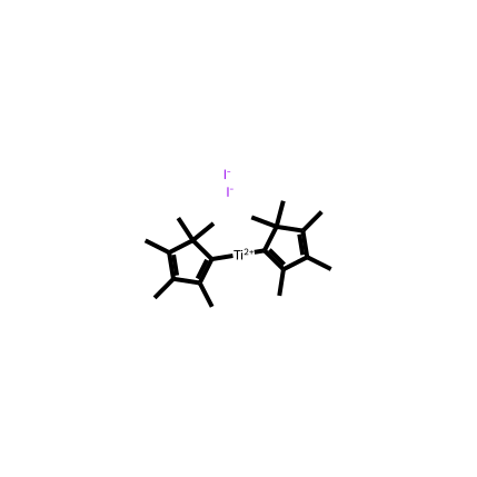 CC1=C(C)C(C)(C)[C]([Ti+2][C]2=C(C)C(C)=C(C)C2(C)C)=C1C.[I-].[I-]